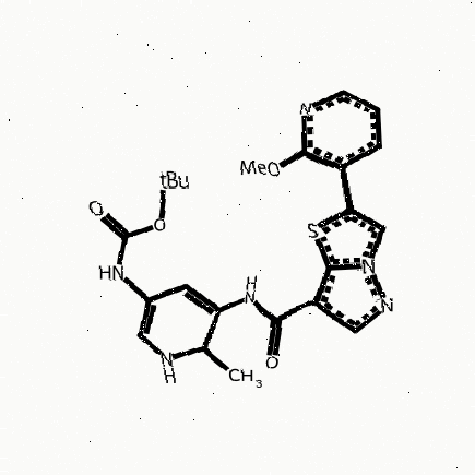 COc1ncccc1-c1cn2ncc(C(=O)NC3=CC(NC(=O)OC(C)(C)C)=CNC3C)c2s1